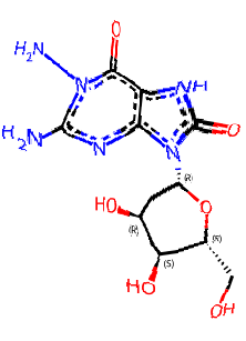 Nc1nc2c([nH]c(=O)n2[C@@H]2O[C@H](CO)[C@@H](O)[C@H]2O)c(=O)n1N